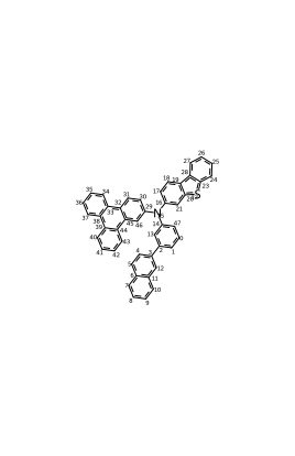 c1cc(-c2ccc3ccccc3c2)cc(N(c2ccc3c(c2)sc2ccccc23)c2ccc3c4ccccc4c4ccccc4c3c2)c1